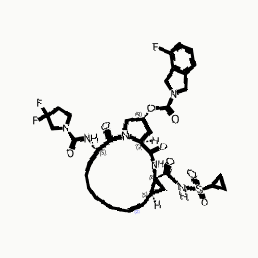 O=C1N[C@]2(C(=O)NS(=O)(=O)C3CC3)C[C@H]2/C=C\CCCCC[C@H](NC(=O)N2CCC(F)(F)C2)C(=O)N2C[C@H](OC(=O)N3Cc4cccc(F)c4C3)C[C@@H]12